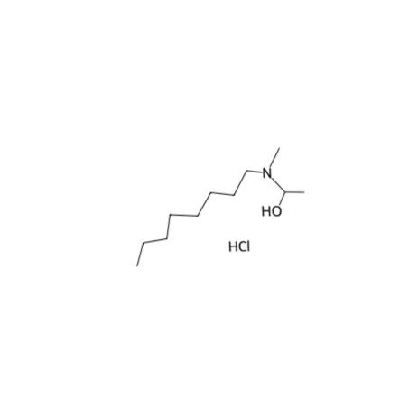 CCCCCCCCN(C)C(C)O.Cl